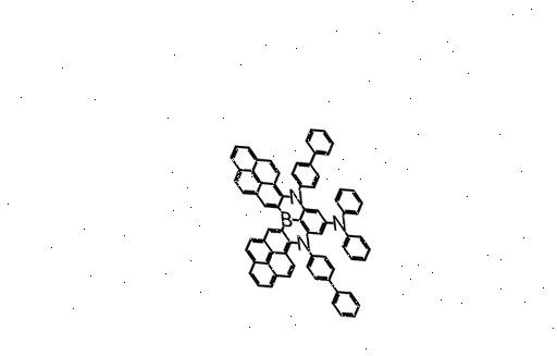 c1ccc(-c2ccc(N3c4cc(N(c5ccccc5)c5ccccc5)cc5c4B(c4cc6ccc7cccc8ccc(c43)c6c78)c3cc4ccc6cccc7ccc(c3N5c3ccc(-c5ccccc5)cc3)c4c67)cc2)cc1